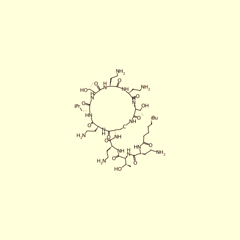 CC[C@H](C)CCCCC(=O)N[C@@H](CCN)C(=O)N[C@H](C(=O)N[C@@H](CCN)C(=O)N[C@H]1CCNC(=O)[C@H]([C@@H](C)O)NC(=O)[C@H](CCN)NC(=O)[C@H](CCN)NC(=O)[C@H]([C@@H](C)O)NC(=O)[C@@H](CC(C)C)NC(=O)[C@H](CCN)NC1=O)[C@@H](C)O